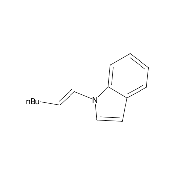 CCCCC=Cn1ccc2ccccc21